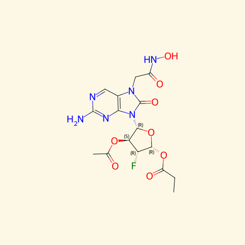 CCC(=O)O[C@H]1O[C@@H](n2c(=O)n(CC(=O)NO)c3cnc(N)nc32)[C@H](OC(C)=O)[C@H]1F